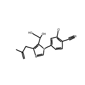 C=C(C)Cc1ncn(-c2ccc(C#N)c(Cl)c2)c1C(O)O